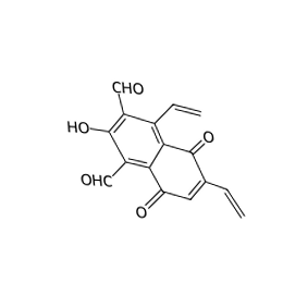 C=CC1=CC(=O)c2c(C=O)c(O)c(C=O)c(C=C)c2C1=O